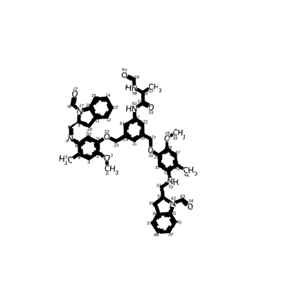 COc1cc(C)c(/N=C\[C@@H]2Cc3ccccc3N2C=O)cc1OCc1cc(COc2cc(NCC3Cc4ccccc4N3C=O)c(C)cc2OC)cc(NC(=O)C(C)NC=O)c1